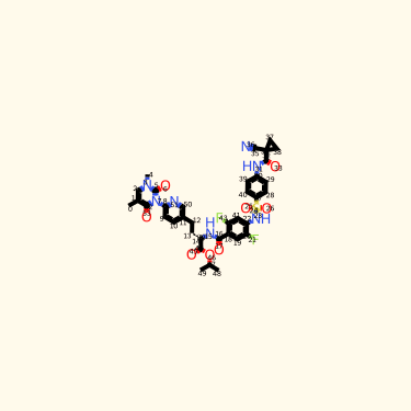 Cc1cn(C)c(=O)n(-c2ccc(CC[C@H](NC(=O)c3cc(F)c(NS(=O)(=O)c4ccc(NC(=O)C5(C#N)CC5)cc4)cc3F)C(=O)OC(C)C)cn2)c1=O